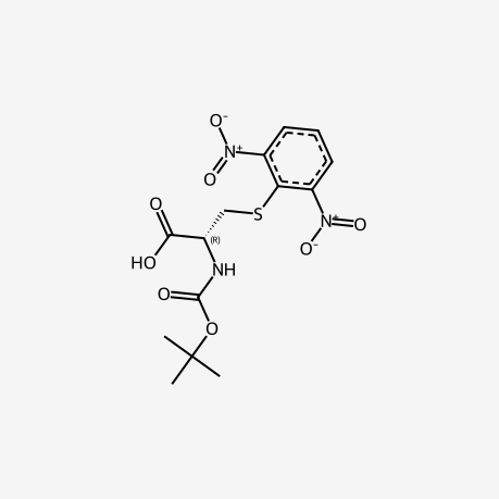 CC(C)(C)OC(=O)N[C@@H](CSc1c([N+](=O)[O-])cccc1[N+](=O)[O-])C(=O)O